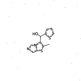 Cc1sc2cncn2c1C(O)c1cccs1